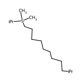 CC(C)CCCCCCCCCS(C)(C)C(C)C